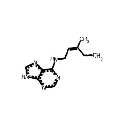 CC/C(C)=C\CNc1ncnc2[nH]cnc12